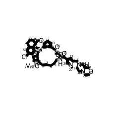 CO[C@H]1/C=C/CCC[S@@](=O)(NC(=O)c2cc(CN3CCN4CCOC[C@@H]4C3)n(C)c2)=NC(=O)c2ccc3c(c2)N(C[C@@H]2CC[C@H]21)C[C@@]1(CCCc2cc(Cl)ccc21)CO3